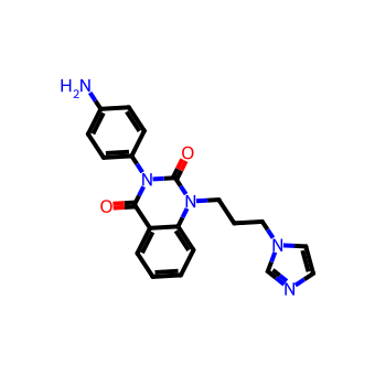 Nc1ccc(-n2c(=O)c3ccccc3n(CCCn3ccnc3)c2=O)cc1